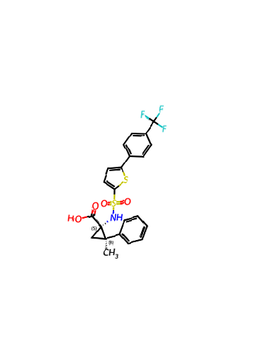 C[C@]1(c2ccccc2)C[C@@]1(NS(=O)(=O)c1ccc(-c2ccc(C(F)(F)F)cc2)s1)C(=O)O